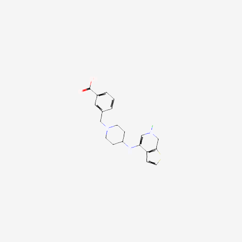 O=C(O)c1cccc(CN2CCC(NC3=CN(Cl)Cc4sccc43)CC2)c1